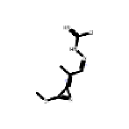 CSC1=NC/1=C(C)\C=N/NC(=N)Cl